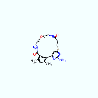 Cc1cc(C)c2cc1C(=O)NCCOCCNC(=O)CCSc1cc-2nc(N)n1